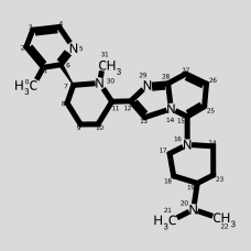 Cc1cccnc1[C@@H]1CCCC(c2cn3c(N4CCC(N(C)C)CC4)cccc3n2)N1C